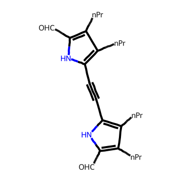 CCCc1c(C#Cc2[nH]c(C=O)c(CCC)c2CCC)[nH]c(C=O)c1CCC